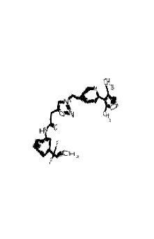 C=CC(F)(F)c1cccc(NC(=O)Cc2c[n+](Cc3ccc(-c4c(C)coc4C)nc3)no2)c1